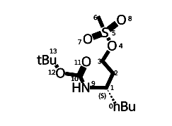 CCCC[C@@H](CCOS(C)(=O)=O)NC(=O)OC(C)(C)C